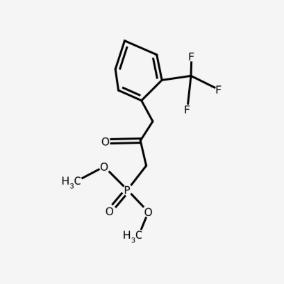 COP(=O)(CC(=O)Cc1ccccc1C(F)(F)F)OC